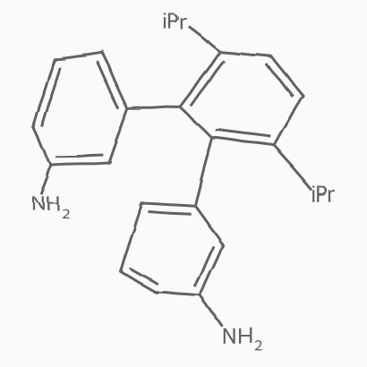 CC(C)c1ccc(C(C)C)c(-c2cccc(N)c2)c1-c1cccc(N)c1